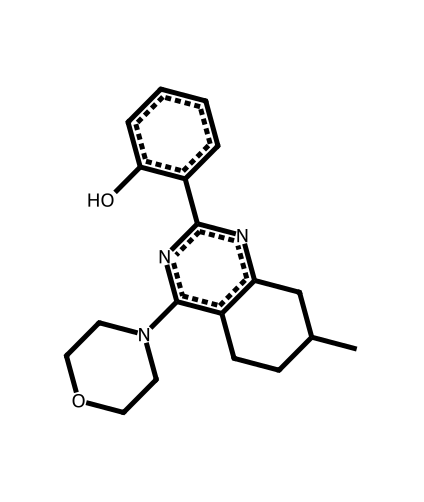 CC1CCc2c(nc(-c3ccccc3O)nc2N2CCOCC2)C1